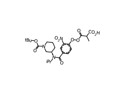 CC(C(=O)O)C(=O)OOc1ccc(C(=O)N(C(C)C)[C@@H]2CCCN(C(=O)OC(C)(C)C)C2)cc1[N+](=O)[O-]